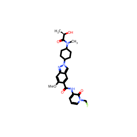 COc1cc2nn(C3CCC(N(C)C(=O)[C@@H](C)O)CC3)cc2cc1C(=O)Nc1cccn(CF)c1=O